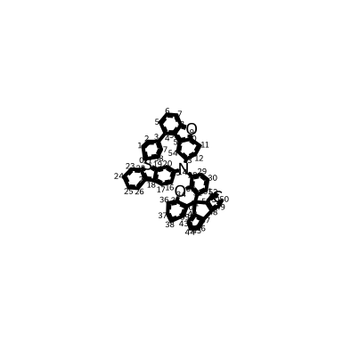 c1ccc(-c2cccc3oc4ccc(N(c5ccc6c(c5)sc5ccccc56)c5cccc6c5Oc5ccccc5C65c6ccccc6-c6ccccc65)cc4c23)cc1